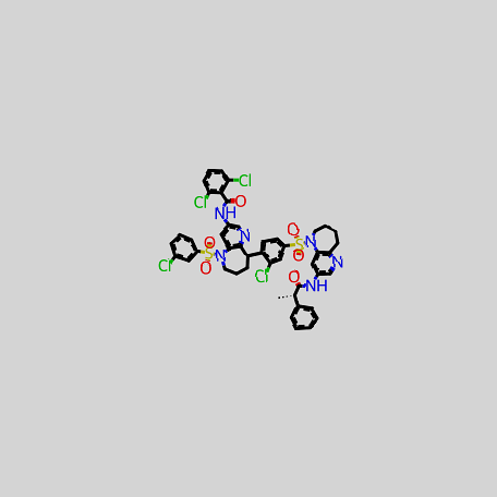 C[C@H](C(=O)Nc1cnc2c(c1)N(S(=O)(=O)c1ccc(C3CCCN(S(=O)(=O)c4cccc(Cl)c4)c4cc(NC(=O)c5c(Cl)cccc5Cl)cnc43)c(Cl)c1)CCCC2)c1ccccc1